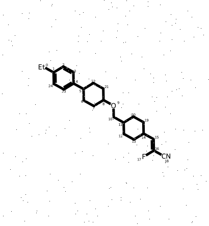 CCc1ccc(C2CCC(OCC3CCC(C=C(F)C#N)CC3)CC2)cc1